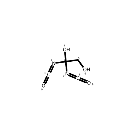 O=C=NC(O)(CO)N=C=O